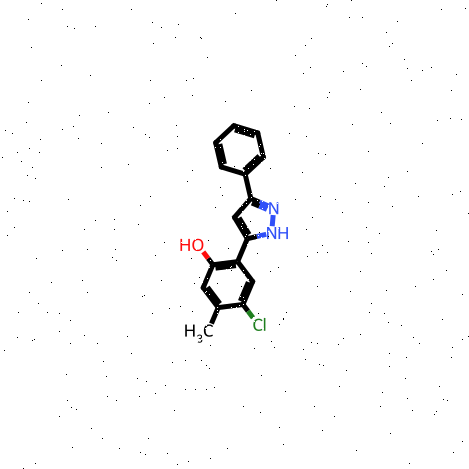 Cc1cc(O)c(-c2cc(-c3ccccc3)n[nH]2)cc1Cl